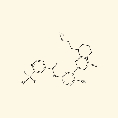 COCCN1CCCn2c1cc(-c1cc(NC(=O)c3ccnc(C(C)(F)F)c3)ccc1C)cc2=O